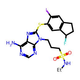 CCNS(=O)(=O)CCCn1c(Sc2cc3c(cc2I)CCC3F)nc2c(N)ncnc21